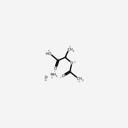 CC(=O)OC(C)C(=O)O.N.[Zr]